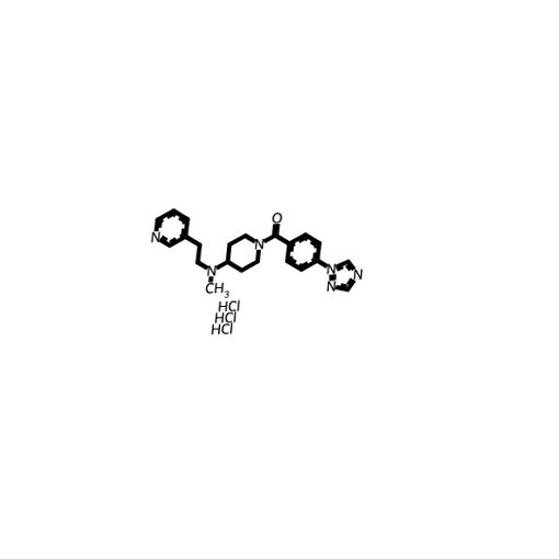 CN(CCc1cccnc1)C1CCN(C(=O)c2ccc(-n3cncn3)cc2)CC1.Cl.Cl.Cl